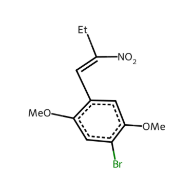 CCC(=Cc1cc(OC)c(Br)cc1OC)[N+](=O)[O-]